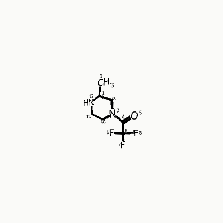 CC1CN(C(=O)C(F)(F)F)CCN1